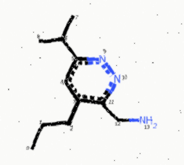 CCCc1cc(C(C)C)nnc1CN